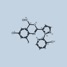 Cc1cc(Cl)cc2c1N=C(c1ccnn1-c1ncccc1Cl)OC2C=O